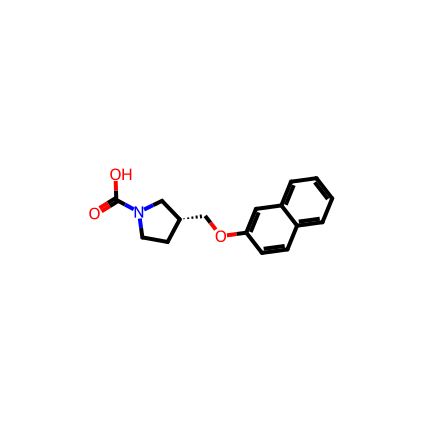 O=C(O)N1CC[C@@H](COc2ccc3ccccc3c2)C1